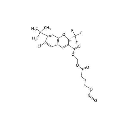 CC(C)(C)c1cc2c(cc1Cl)C=C(C(=O)OCOC(=O)CCCON=O)[C@@H](C(F)(F)F)O2